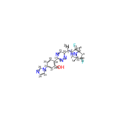 [2H]/C(=C1/C[C@]2(C)N[C@@](C)(C[C@H]2F)[C@H]1F)c1cnc(-c2ccc(-n3ccnc3)cc2O)nn1